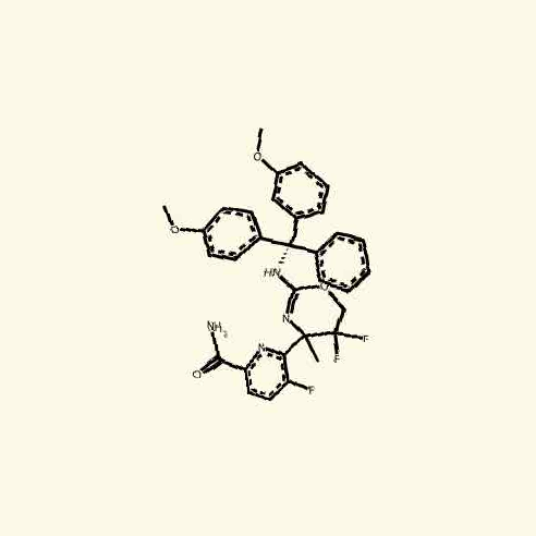 COc1ccc([C@](NC2=NC(C)(c3nc(C(N)=O)ccc3F)C(F)(F)CO2)(c2ccccc2)c2cccc(OC)c2)cc1